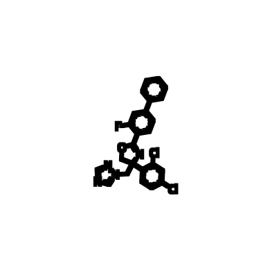 Fc1cc(-c2ccccc2)ccc1C1=NC(Cn2cncn2)(c2ccc(Cl)cc2Cl)CO1